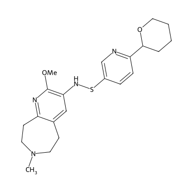 COc1nc2c(cc1NSc1ccc(C3CCCCO3)nc1)CCN(C)CC2